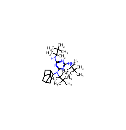 CC(C)(C)C(C)(C)Nc1nc(NC(C)(C)C(C)(C)C)nc(N(C2C3CC4CC(C3)CC2C4)C(C)(C)C(C)(C)C)n1